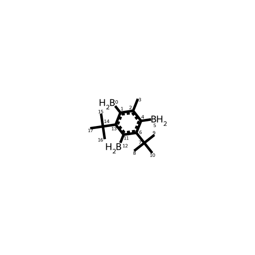 Bc1c(C)c(B)c(C(C)(C)C)c(B)c1C(C)(C)C